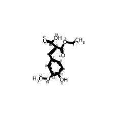 CCOC(=O)C(=Cc1ccc(O)c(OC)c1)C(=O)O